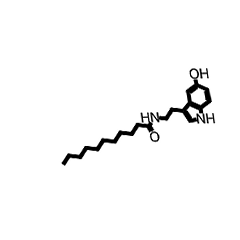 CCCCCCCCCCC(=O)NCCc1c[nH]c2ccc(O)cc12